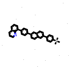 C[Si](C)(C)c1ccc(-c2ccc3cc(-c4ccc(-c5cccc6cccnc56)cc4)ccc3c2)cc1